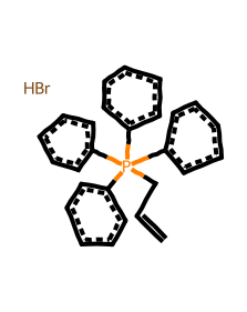 Br.C=CCP(c1ccccc1)(c1ccccc1)(c1ccccc1)c1ccccc1